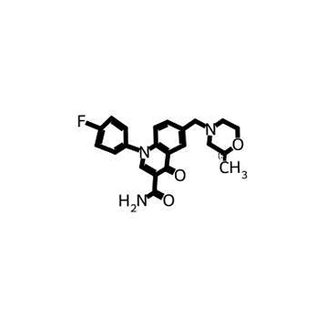 C[C@H]1CN(Cc2ccc3c(c2)c(=O)c(C(N)=O)cn3-c2ccc(F)cc2)CCO1